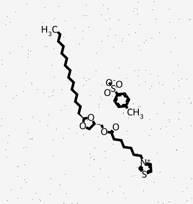 CCCCCCCCCCCCCCC[C@@H]1OC[C@@H](COC(=O)CCCCCC[n+]2ccsc2)O1.Cc1ccc(S(=O)(=O)[O-])cc1